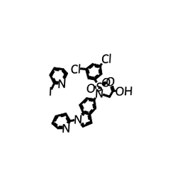 Ic1ccccn1.O=C(O)CN(c1ccc2c(ccn2-c2ccccn2)c1)S(=O)(=O)c1cc(Cl)cc(Cl)c1